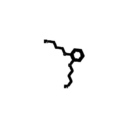 CC(C)CCCOc1ccccc1OCCCC(C)C